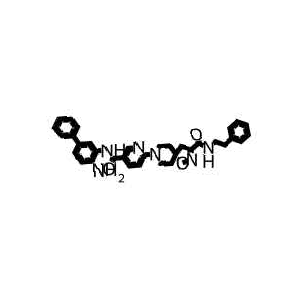 Nc1ccc(-c2ccccc2)cc1NC(=O)c1ccc(N2CCC3(CC2)CC(C(=O)NCCc2ccccc2)=NO3)nc1